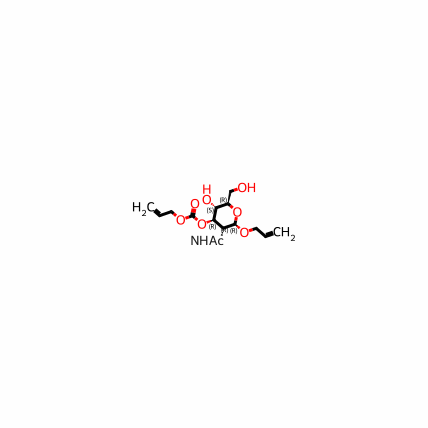 C=CCOC(=O)O[C@H]1[C@H](O)[C@@H](CO)O[C@@H](OCC=C)[C@@H]1NC(C)=O